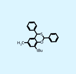 Cc1cc2c(c(C(C)(C)C)c1)OC(c1ccccc1)SC2c1ccccc1